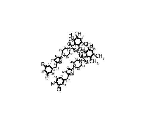 Cc1cc(C)c(C)c(S(=O)(=O)N2CCN(c3nc(Cc4cc(F)cc(Cl)c4)cs3)CC2)c1C.Cc1cc(C)c(C)c(S(=O)(=O)N2CCN(c3nc(Cc4ccc(F)c(Cl)c4)cs3)CC2)c1C